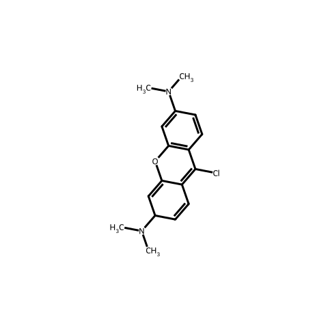 CN(C)c1ccc2c(c1)OC1=CC(N(C)C)C=CC1=C2Cl